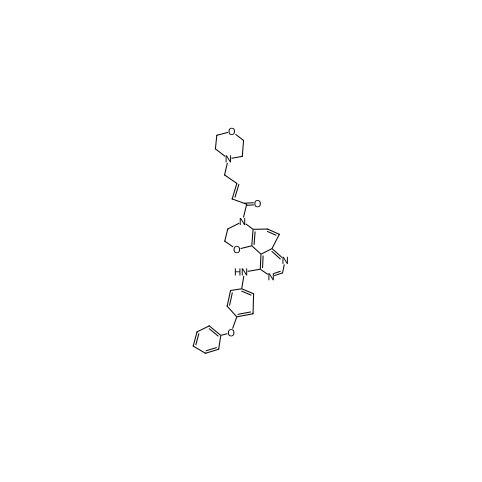 O=C(/C=C/CN1CCOCC1)N1CCOc2c1ccc1ncnc(Nc3ccc(Oc4ccccc4)cc3)c21